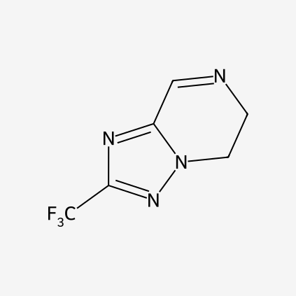 FC(F)(F)c1nc2n(n1)CCN=C2